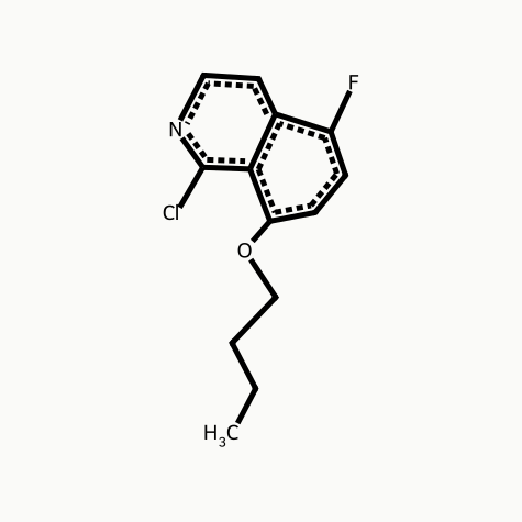 CCCCOc1ccc(F)c2ccnc(Cl)c12